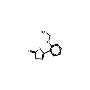 CCOc1ccccc1C1=CCC(=O)O1